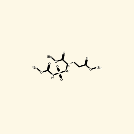 CC(C)(C)OC(=O)CC[C@H](NS(=O)(=O)NC(=O)OC(C)(C)C)C(=O)OC(C)(C)C